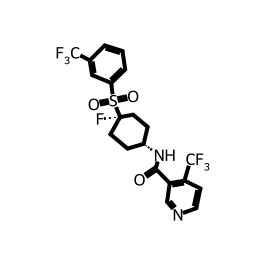 O=C(N[C@H]1CC[C@](F)(S(=O)(=O)c2cccc(C(F)(F)F)c2)CC1)c1cnccc1C(F)(F)F